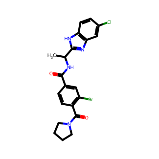 CC(NC(=O)c1ccc(C(=O)N2CCCC2)c(Br)c1)c1nc2cc(Cl)ccc2[nH]1